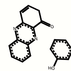 O=C1CC=Cc2nc3ccccc3nc21.Oc1ccccc1